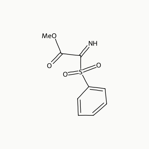 COC(=O)C(=N)S(=O)(=O)c1ccccc1